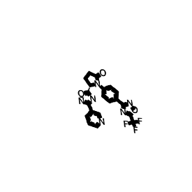 O=C1CC[C@@H](c2nc(-c3cccnc3)no2)N1c1ccc(-c2noc(C(F)(F)F)n2)cc1